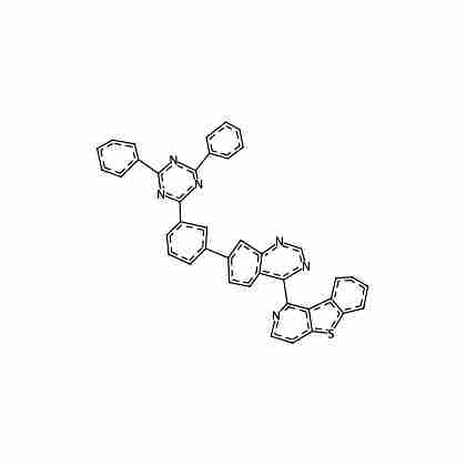 c1ccc(-c2nc(-c3ccccc3)nc(-c3cccc(-c4ccc5c(-c6nccc7sc8ccccc8c67)ncnc5c4)c3)n2)cc1